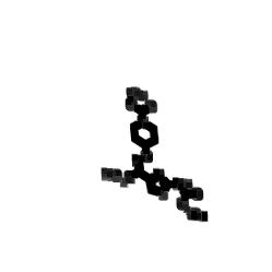 CC(C)(C)OC(=O)Nc1nc(C(=NOC2CCN(C(=O)OC(C)(C)C)CC2)C(=O)O)cs1